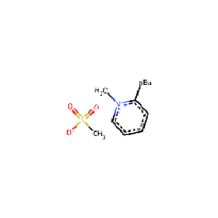 CCCCc1cccc[n+]1C.CS(=O)(=O)[O-]